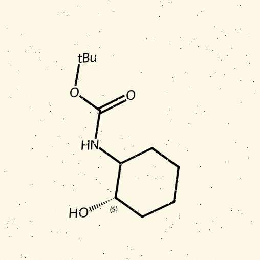 CC(C)(C)OC(=O)NC1CCCC[C@@H]1O